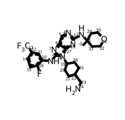 CC1(Nc2ncc3nc(Nc4cc(C(F)(F)F)ccc4F)n(C4CCC(CN)CC4)c3n2)CCOCC1